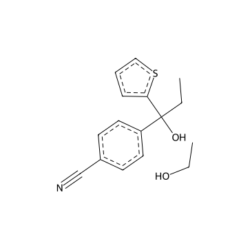 CCC(O)(c1ccc(C#N)cc1)c1cccs1.CCO